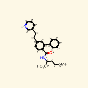 CSCCC(NC(=O)c1ccc(CCc2cccnc2)cc1-c1ccccc1)C(=O)O